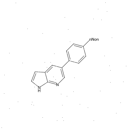 CCCCCCCCCc1ccc(-c2cnc3[nH]ccc3c2)cc1